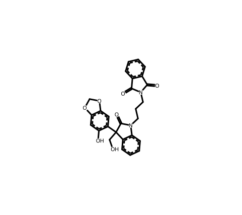 O=C1c2ccccc2C(=O)N1CCCN1C(=O)C(CO)(c2cc3c(cc2O)OCO3)c2ccccc21